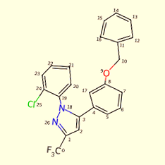 FC(F)(F)c1cc(-c2cccc(OCc3ccccc3)c2)n(-c2ccccc2Cl)n1